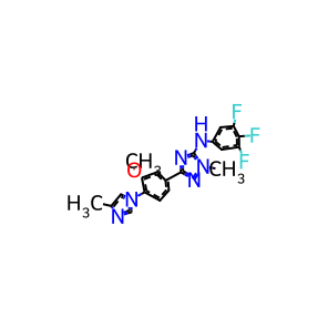 COc1cc(-c2nc(Nc3cc(F)c(F)c(F)c3)n(C)n2)ccc1-n1cnc(C)c1